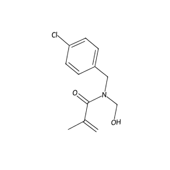 C=C(C)C(=O)N(CO)Cc1ccc(Cl)cc1